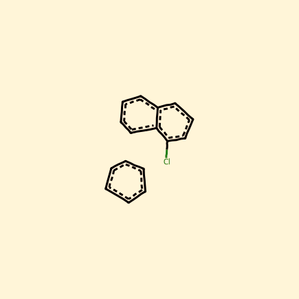 Clc1cccc2ccccc12.c1ccccc1